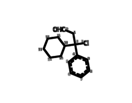 O=CCC(Cl)(c1ccccc1)C1CCCCC1